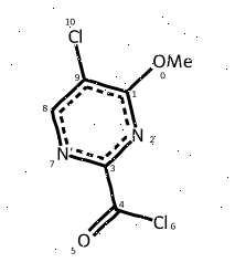 COc1nc(C(=O)Cl)ncc1Cl